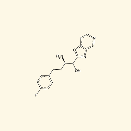 N[C@H](CCc1ccc(F)cc1)C(O)c1nc2cnccc2o1